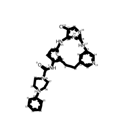 O=C(Nc1ccc2cc1CCc1cncc(c1)Nc1ncc(Cl)c(n1)N2)N1CCN(c2ccccc2)CC1